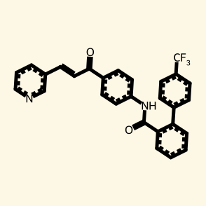 O=C(C=Cc1cccnc1)c1ccc(NC(=O)c2ccccc2-c2ccc(C(F)(F)F)cc2)cc1